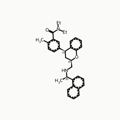 CCN(CC)C(=O)c1cc([C@@H]2C[C@H](CN[C@H](C)c3cccc4ccccc34)Oc3ccccc32)ccc1C